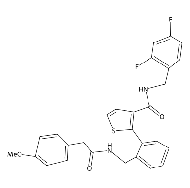 COc1ccc(CC(=O)NCc2ccccc2-c2sccc2C(=O)NCc2ccc(F)cc2F)cc1